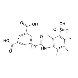 Cc1c(C)c(NC(=O)Nc2cc(C(=O)O)cc(C(=O)O)c2)c(C)c(S(=O)(=O)O)c1C